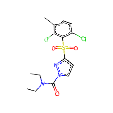 CCN(CC)C(=O)n1ccc(S(=O)(=O)c2c(Cl)ccc(C)c2Cl)n1